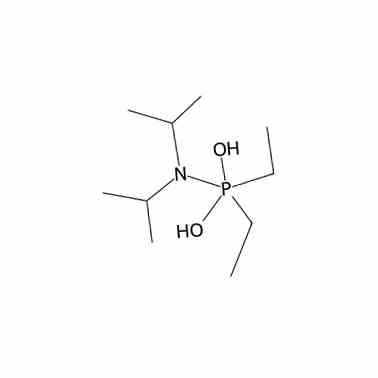 CCP(O)(O)(CC)N(C(C)C)C(C)C